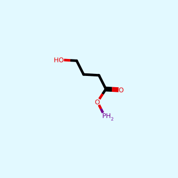 O=C(CCCO)OP